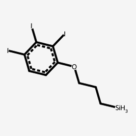 [SiH3]CCCOc1ccc(I)c(I)c1I